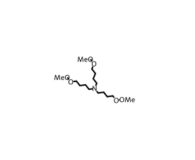 COOCCCCN(CCCCOOC)CCCCOOC